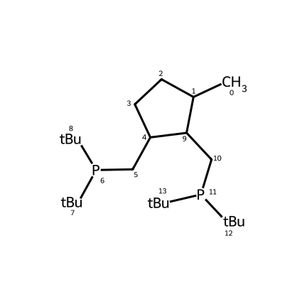 CC1CCC(CP(C(C)(C)C)C(C)(C)C)C1CP(C(C)(C)C)C(C)(C)C